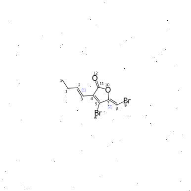 CC/C=C/C1=C(Br)C(=C/Br)/OC1=O